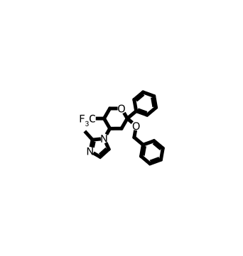 Cc1nccn1C1CC(OCc2ccccc2)(c2ccccc2)OCC1C(F)(F)F